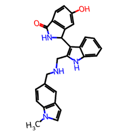 Cn1ccc2cc(CNCc3[nH]c4ccccc4c3C3NC(=O)c4ccc(O)cc43)ccc21